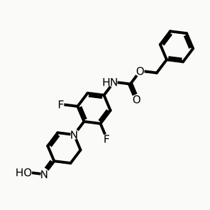 O=C(Nc1cc(F)c(N2C=C/C(=N\O)CC2)c(F)c1)OCc1ccccc1